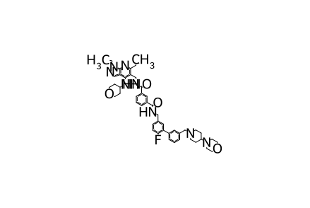 CCc1nc2c(cnn2CC)c(NC2CCOCC2)c1CNC(=O)c1cccc(C(=O)NCc2ccc(F)c(-c3cccc(CN4CCC(N5CCOCC5)CC4)c3)c2)c1